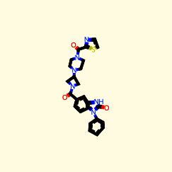 O=C(c1ccc2c(c1)[nH]c(=O)n2-c1ccccc1)N1CC(N2CCN(C(=O)c3nccs3)CC2)C1